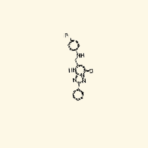 CC(C)c1ccc(NCc2cc(=O)n3nc(-c4ccccc4)nc3[nH]2)cc1